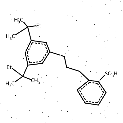 CCC(C)(C)c1cc(CCCc2ccccc2S(=O)(=O)O)cc(C(C)(C)CC)c1